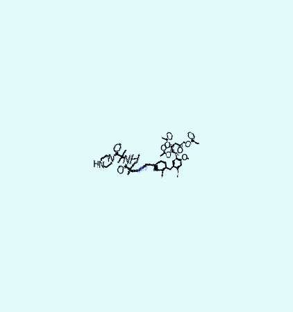 COc1cc(I)c(Cc2ccc(/C=C/C(C)(C)C(=O)NC(C)(C)C(=O)N3CCNCC3)cc2C)cc1[C@@H]1O[C@H](COC(C)=O)C[C@H](OC(C)=O)[C@H]1OC(C)=O